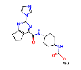 CC(C)(C)OC(=O)N[C@H]1CC[C@H](NC(=O)c2nc(-n3ccnc3)nc3c2CCC3)CC1